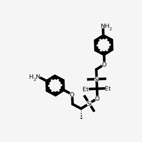 CCC(CC)(O[Si](C)(C)[C@H](C)COc1ccc(N)cc1)[Si](C)(C)COc1ccc(N)cc1